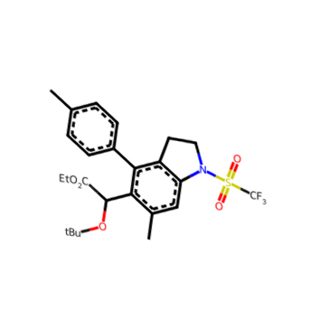 CCOC(=O)C(OC(C)(C)C)c1c(C)cc2c(c1-c1ccc(C)cc1)CCN2S(=O)(=O)C(F)(F)F